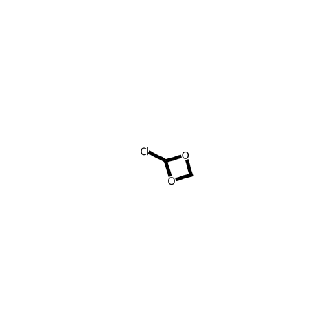 ClC1OCO1